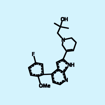 COc1ccc(F)cc1-c1ccnc2[nH]c(C3=CCCN(CC(C)(C)O)C3)cc12